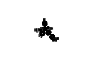 NC(=O)C1CC(F)(F)CCC1c1nn(-c2ccc(F)cn2)c(CO)c1-c1ccc(N2CCS(O)(O)CC2)cc1